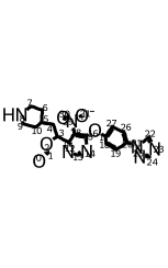 O=COC(CC1CCNCC1)c1ncnc(Oc2ccc(-n3cncn3)cc2)c1[N+](=O)[O-]